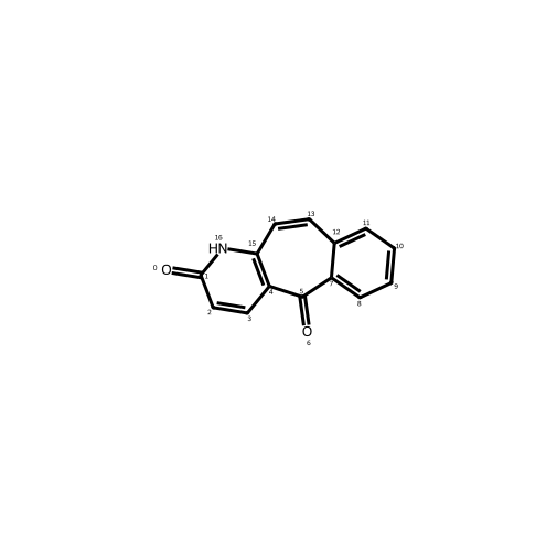 O=c1ccc2c(=O)c3ccccc3ccc2[nH]1